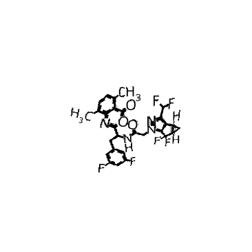 Cc1ccc(C)c2c(=O)oc(C(Cc3cc(F)cc(F)c3)NC(=O)Cn3nc(C(F)F)c4c3C(F)(F)[C@@H]3C[C@H]43)nc12